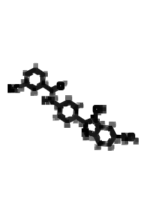 N#Cc1cccc(C(=O)Nc2ccc(-c3nc4ccc([N+](=O)[O-])cc4n3O)cc2)c1